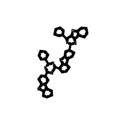 c1ccc(-c2nc(-c3ccc4sc5ccccc5c4c3)nc(-c3cccc4c3sc3cc(-c5nc(-c6ccccc6)c6oc7ccccc7c6n5)ccc34)n2)cc1